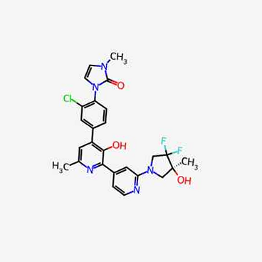 Cc1cc(-c2ccc(-n3ccn(C)c3=O)c(Cl)c2)c(O)c(-c2ccnc(N3CC(F)(F)[C@@](C)(O)C3)c2)n1